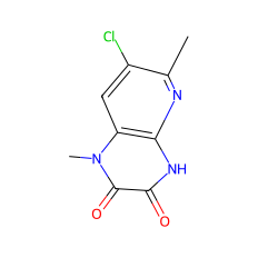 Cc1nc2[nH]c(=O)c(=O)n(C)c2cc1Cl